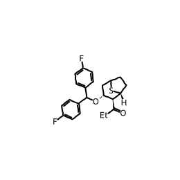 CCC(=O)[C@H]1[C@H](OC(c2ccc(F)cc2)c2ccc(F)cc2)CC2CC[C@H]1S2